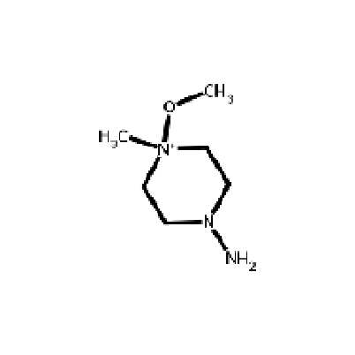 CO[N+]1(C)CCN(N)CC1